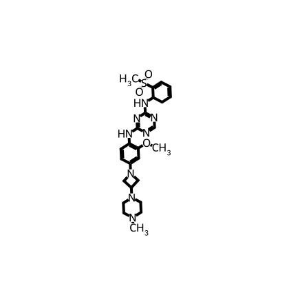 COc1cc(N2CC(N3CCN(C)CC3)C2)ccc1Nc1ncnc(NC2CC=CC=C2S(C)(=O)=O)n1